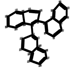 [c]1c(-c2c(-c3cccc4ccccc34)ccc3ccccc23)ccc2ccccc12